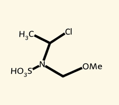 COCN(C(C)Cl)S(=O)(=O)O